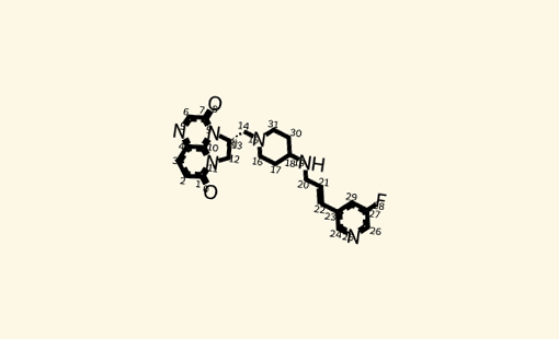 O=c1ccc2ncc(=O)n3c2n1C[C@H]3CN1CCC(NCC=Cc2cncc(F)c2)CC1